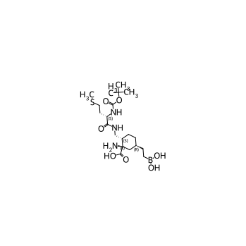 CSCC[C@H](NC(=O)OC(C)(C)C)C(=O)NC[C@@H]1CC[C@@H](CCB(O)O)C[C@]1(N)C(=O)O